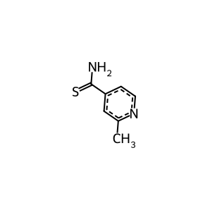 Cc1cc(C(N)=S)ccn1